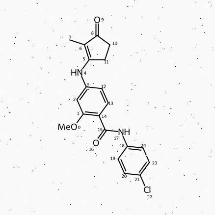 COc1cc(NC2=C(C)C(=O)CC2)ccc1C(=O)Nc1ccc(Cl)cc1